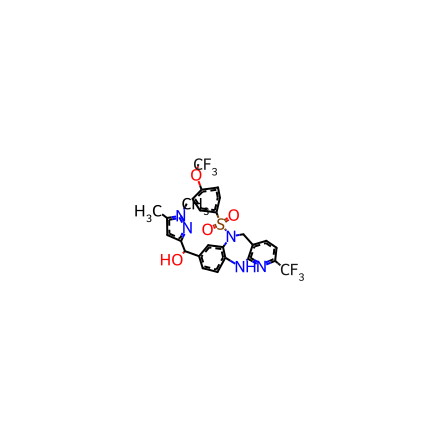 Cc1cc(C(O)c2ccc3c(c2)N(S(=O)(=O)c2ccc(OC(F)(F)F)cc2)Cc2ccc(C(F)(F)F)nc2N3)nn1C